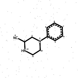 N#CC1CN(c2ccccc2)CCN1